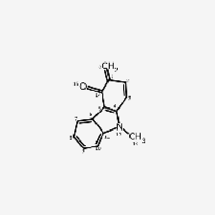 C=C1C=Cc2c(c3ccccc3n2C)C1=O